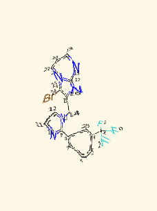 FC(F)(F)c1cccc(-c2nccn2Cc2nc3ncccn3c2Br)c1